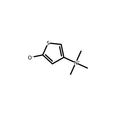 C[N+](C)(C)c1csc([O-])c1